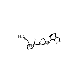 C=NC[C@@H]1CCCN1C(=O)CN1CC[C@@H](Nc2cccc3ccsc23)C1